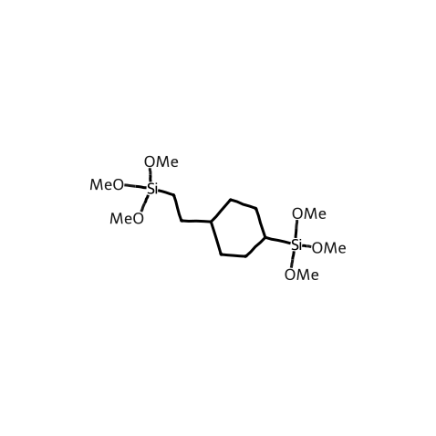 CO[Si](CCC1CCC([Si](OC)(OC)OC)CC1)(OC)OC